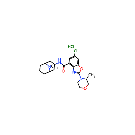 C[C@H]1COCCN1c1nc2c(C(=O)NC3CC4CCCC(C3)N4C)cc(Cl)cc2o1.Cl